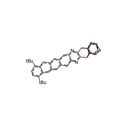 CC(C)(C)c1ccc(C(C)(C)C)c2cc3cc4cc5nc6c(nc5cc4cc3cc12)C1c2ccccc2C6c2ccccc21